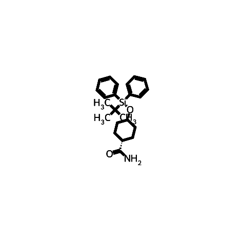 CC(C)(C)[Si](O[C@H]1CC[C@H](C(N)=O)CC1)(c1ccccc1)c1ccccc1